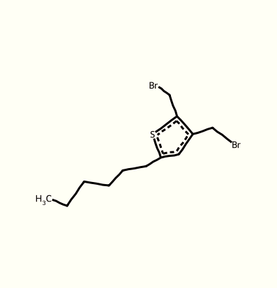 CCCCCCc1cc(CBr)c(CBr)s1